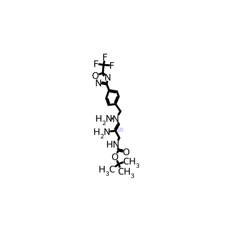 CC(C)(C)OC(=O)NC/C(N)=C/N(N)Cc1ccc(-c2noc(C(F)(F)F)n2)cc1